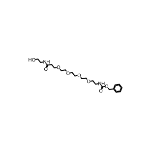 O=C(CCOCCOCCOCCOCCNC(=O)OCc1ccccc1)NCCO